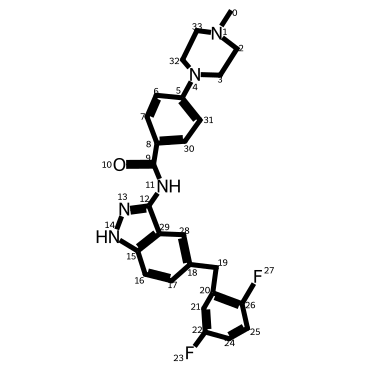 CN1CCN(c2ccc(C(=O)Nc3n[nH]c4ccc(Cc5cc(F)ccc5F)cc34)cc2)CC1